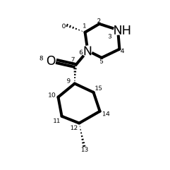 C[C@@H]1CNCCN1C(=O)[C@H]1CC[C@@H](C)CC1